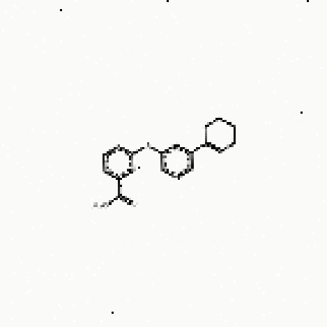 COC(=O)c1cccc(Sc2cncc(C3=CCCCC3)c2)c1